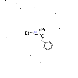 CC/C=C/C(CCC)OCc1ccccc1